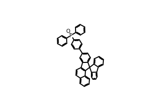 O=P(c1ccccc1)(c1ccccc1)c1ccc(-c2ccc3c(c2)-c2ccc4ccccc4c2C32c3ccccc3-c3ccccc32)cc1